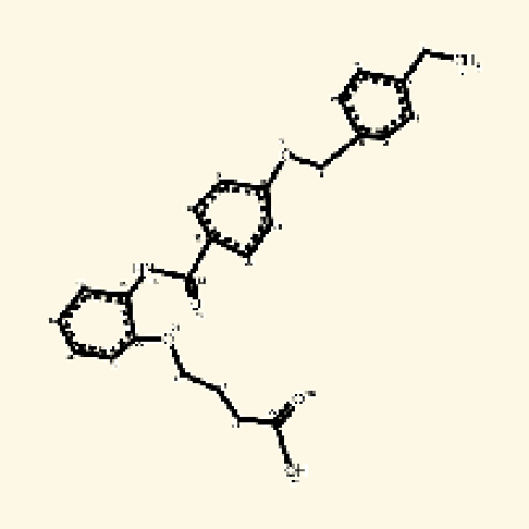 CCc1ccc(COc2ccc(C(=O)Nc3ccccc3OCCCC(=O)O)cc2)cc1